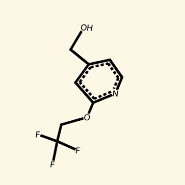 OCc1ccnc(OCC(F)(F)F)c1